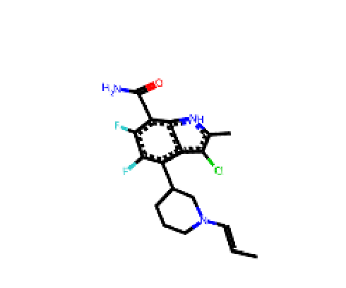 CC=CN1CCCC(c2c(F)c(F)c(C(N)=O)c3[nH]c(C)c(Cl)c23)C1